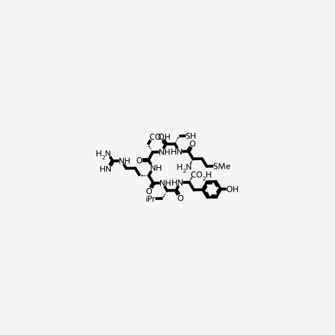 CSCC[C@H](N)C(=O)N[C@@H](CS)C(=O)N[C@@H](CC(=O)O)C(=O)N[C@@H](CCCNC(=N)N)C(=O)N[C@@H](CC(C)C)C(=O)N[C@@H](Cc1ccc(O)cc1)C(=O)O